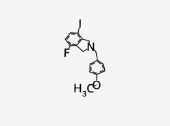 COc1ccc(CN2Cc3c(F)ccc(I)c3C2)cc1